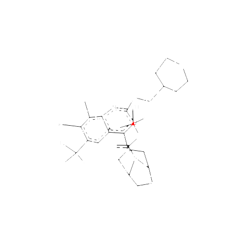 CC(C)(C)OC(=O)N1C2CCC1CN(c1nc(OCC3CCOCC3)nc3c(F)c(Br)c(C(F)(F)F)cc13)C2